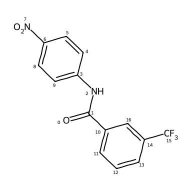 O=C(Nc1ccc([N+](=O)[O-])cc1)c1cccc(C(F)(F)F)c1